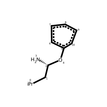 CC(C)[CH][C@H](N)Oc1ccccc1